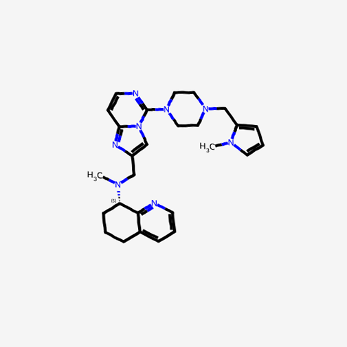 CN(Cc1cn2c(N3CCN(Cc4cccn4C)CC3)nccc2n1)[C@H]1CCCc2cccnc21